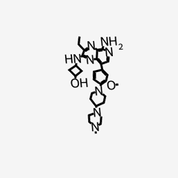 CCc1nc2c(N)ncc(-c3ccc(N4CCC(N5CCN(C)CC5)CC4)c(OC)c3)c2nc1NC1CC(O)C1